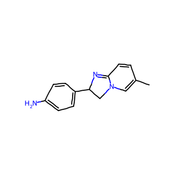 CC1=CN2CC(c3ccc(N)cc3)N=C2C=C1